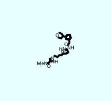 CNC(=O)c1cn(CCCCC(=N)/C=C\C(=N)NC(=O)Cc2cccc(C3CCOCC3)c2)[nH]1